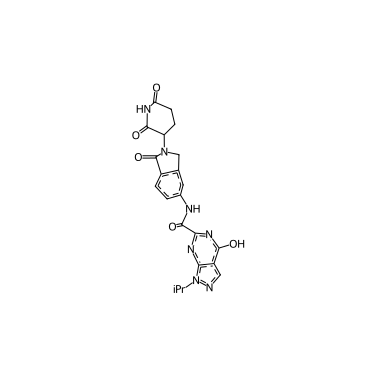 CC(C)n1ncc2c(O)nc(C(=O)Nc3ccc4c(c3)CN(C3CCC(=O)NC3=O)C4=O)nc21